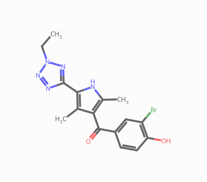 CCn1nnc(-c2[nH]c(C)c(C(=O)c3ccc(O)c(Br)c3)c2C)n1